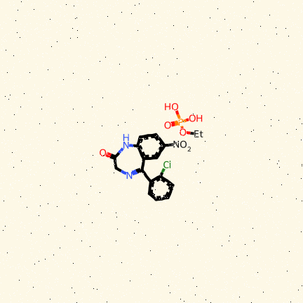 CCOP(=O)(O)O.O=C1CN=C(c2ccccc2Cl)c2cc([N+](=O)[O-])ccc2N1